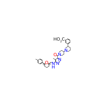 Cc1ccc([C@@H]2CCC[C@H](CNc3ncnc(C(=O)N4CCC(N5CCCC(c6cccc(C(=O)O)c6)C5)CC4)c3C)O2)cc1